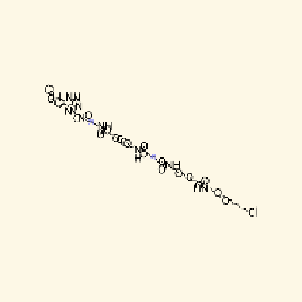 Nc1ncnc2c1c(-c1ccc(Oc3ccccc3)cc1)nn2C1CCCN(C(=O)/C=C/CNC(=O)OCCOCCOCCNC(=O)OC/C=C/COC(=O)NCCOCCOCCOC(=O)NCCOCCOCCCCCCCl)C1